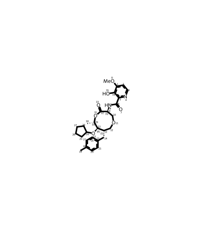 COc1ccnc(C(=O)N[C@H]2COC[C@H](Cc3ccc(C)cc3)[C@@H](OC3CCCC3)[C@H](C)OC2=O)c1O